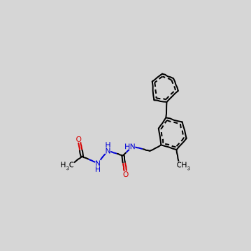 CC(=O)NNC(=O)NCc1cc(-c2ccccc2)ccc1C